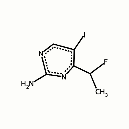 CC(F)c1nc(N)ncc1I